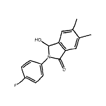 Cc1cc2c(cc1C)C(O)N(c1ccc(F)cc1)C2=O